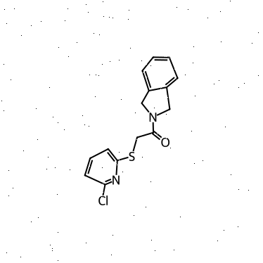 O=C(CSc1cccc(Cl)n1)N1Cc2ccccc2C1